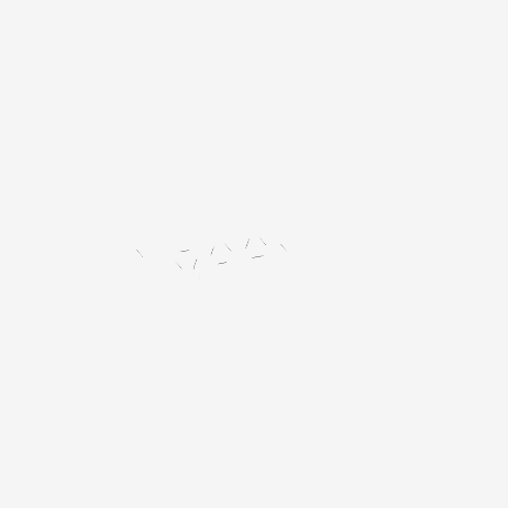 CC/C=C/CCc1ccc(-c2ccc(-c3ccc(C4=CCC(CCCCCCCCC)CC4)c(F)c3F)cc2)c(F)c1F